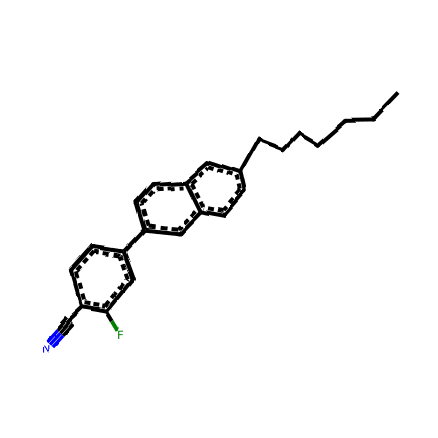 CCCCCCCc1ccc2cc(-c3ccc(C#N)c(F)c3)ccc2c1